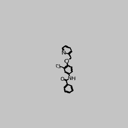 O=C(Nc1ccc(OCc2ccccn2)c(Cl)c1)c1ccccc1